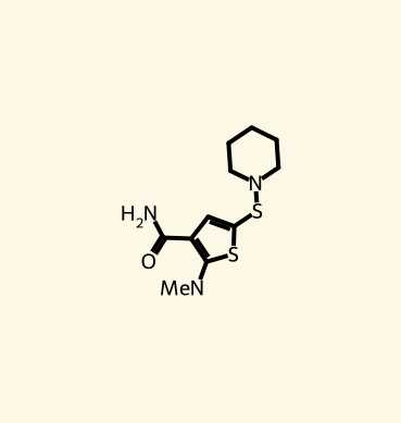 CNc1sc(SN2CCCCC2)cc1C(N)=O